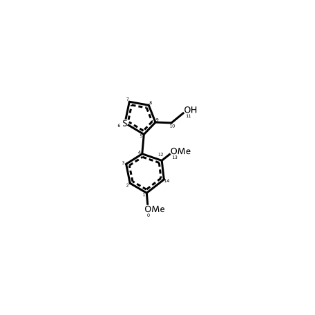 COc1ccc(-c2sccc2CO)c(OC)c1